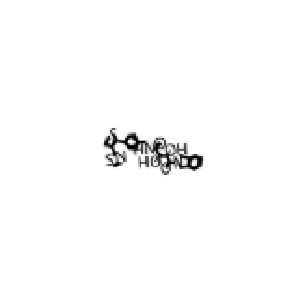 O=C(NCc1ccc(C2=C(c3nccs3)CCS2)cc1)[C@H](O)[C@@H](O)C(=O)N1Cc2ccccc2C1